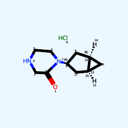 Cl.O=C1CNCCN1[C@H]1C[C@H]2C[C@H]2C1